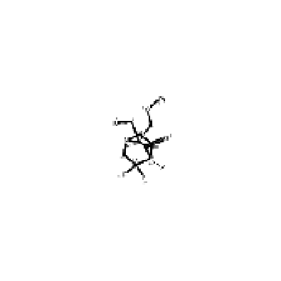 CC(C)OC[C@@]1(CO)C(=O)[C@@]2(C)CCN1CC2(F)F